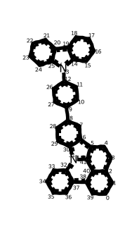 c1cc2ccc3c4cc(-c5ccc(-n6c7ccccc7c7ccccc76)cc5)ccc4n4c5ccccc5c(c1)c2c34